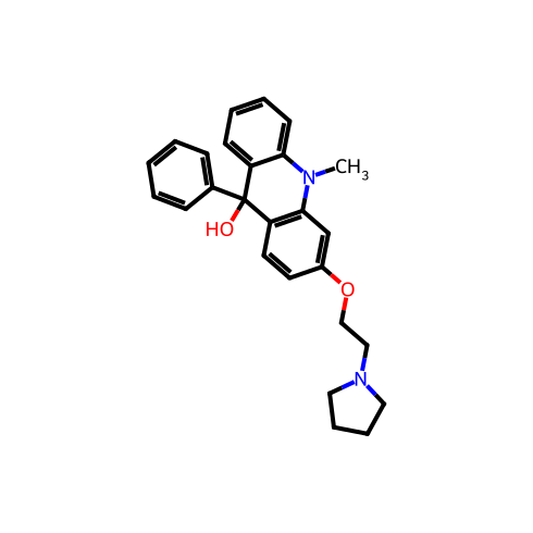 CN1c2ccccc2C(O)(c2ccccc2)c2ccc(OCCN3CCCC3)cc21